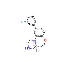 Fc1cccc(-c2ccc3c(c2)N2CCNC[C@@H]2CCO3)c1